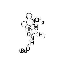 CC(C(=O)NCCCOC(C)(C)C)C(=O)NC1C(=O)N(C)c2ccccc2-c2ccccc21